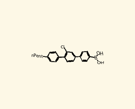 CCCCCc1ccc(-c2ccc(-c3ccc(B(O)O)cc3)cc2Cl)cc1